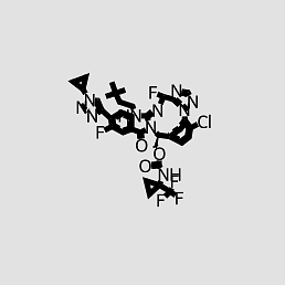 CC(C)(C)CCN/C1=N\C(F)c2ncnn2-c2cc(ccc2Cl)[C@@H](COC(=O)NC2(C(F)(F)F)CC2)N1C(=O)c1ccc(-c2cn(C3CC3)nn2)c(F)c1